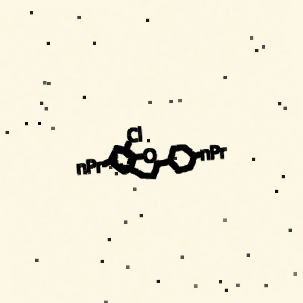 CCCc1cc(Cl)c2c(c1)CCC(C1CCC(CCC)CC1)O2